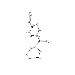 O=[C]N1CCN(C(=O)C2CCCCC2)CC1